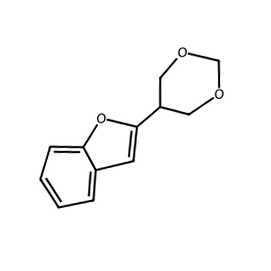 c1ccc2oc(C3COCOC3)cc2c1